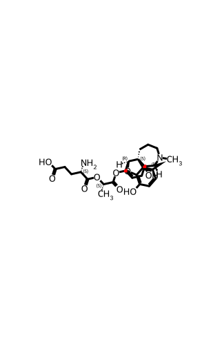 C[C@H](OC(=O)[C@@H](N)CCC(=O)O)C(=O)OC1=CC[C@@]2(O)[C@H]3Cc4ccc(O)c5c4[C@@]2(CCCN3C)[C@H]1O5